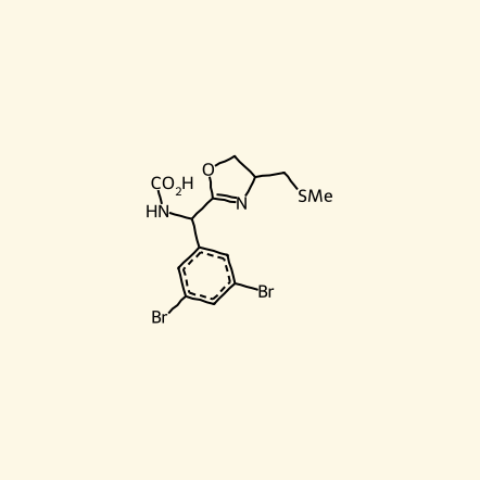 CSCC1COC(C(NC(=O)O)c2cc(Br)cc(Br)c2)=N1